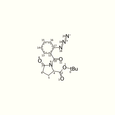 CC(C)(C)OC(=O)C1CCC(=O)N1C(=O)c1ccccc1N=[N+]=[N-]